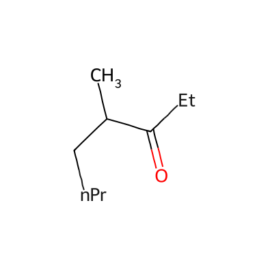 CCCCC(C)C(=O)CC